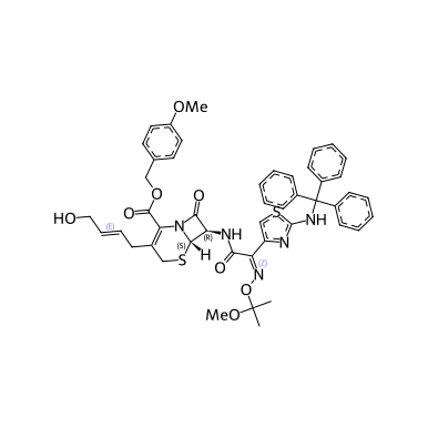 COc1ccc(COC(=O)C2=C(C/C=C/CO)CS[C@H]3[C@H](NC(=O)/C(=N\OC(C)(C)OC)c4csc(NC(c5ccccc5)(c5ccccc5)c5ccccc5)n4)C(=O)N23)cc1